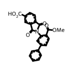 COC(=O)c1ccc(-c2ccccc2)cc1N1C(=O)c2ccc(C(=O)O)cc2C1=O